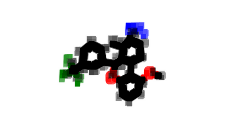 COc1cccc2c1-c1ccc(N)c(C)c1C(c1cccc(C(F)(F)F)c1)O2